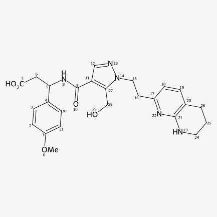 COc1ccc(C(CC(=O)O)NC(=O)c2cnn(CCc3ccc4c(n3)NCCC4)c2CO)cc1